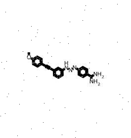 COc1ccc(C#Cc2cccc(N/N=N/c3ccc(C(N)N)cc3)c2)cc1